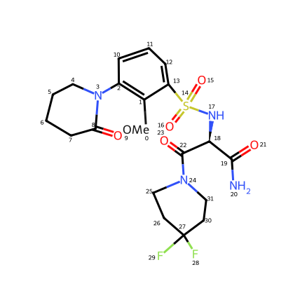 COc1c(N2CCCCC2=O)cccc1S(=O)(=O)N[C@@H](C(N)=O)C(=O)N1CCC(F)(F)CC1